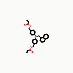 C=CC(=O)OCc1ccc(N(Cc2cccc3ccccc23)c2ccc(COC(=O)C=C)cc2)cc1